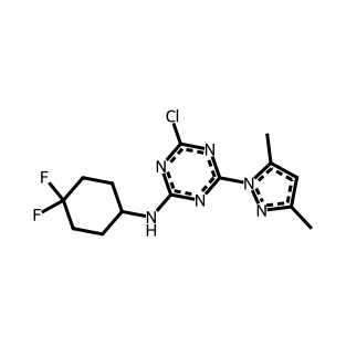 Cc1cc(C)n(-c2nc(Cl)nc(NC3CCC(F)(F)CC3)n2)n1